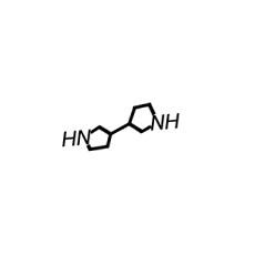 C1CC(C2CCNC2)CN1